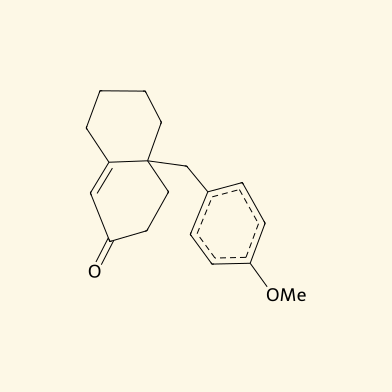 COc1ccc(CC23CCCCC2=CC(=O)CC3)cc1